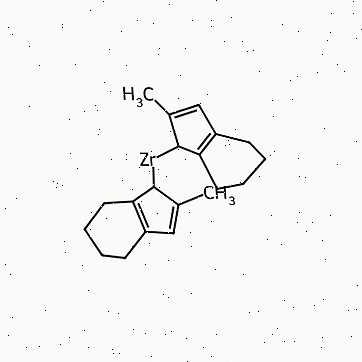 CC1=CC2=C(CCCC2)[CH]1[Zr][CH]1C(C)=CC2=C1CCCC2